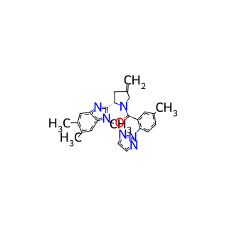 C=C1C[C@@H](c2nc3cc(C)c(C)cc3n2C)N(C(=O)c2cc(C)ccc2-n2nccn2)C1